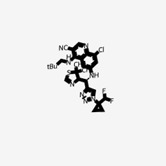 CC(C)(C)CNc1c(C#N)cnc2c(Cl)cc(N[C@H](c3cn(C4(C(F)F)CC4)nn3)C3N=CSC3(C)C)cc12